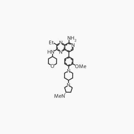 CCc1nc2c(N)ncc(-c3ccc(N4CCC(N5CC[C@H](NC)C5)CC4)c(OC)c3)c2nc1NC1CCOCC1